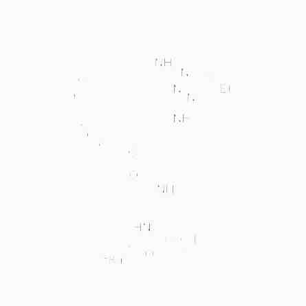 CCOc1nc2nc(n1)Nc1ccc(C(=O)NCC[C@@H](NC(=O)OC(C)(C)C)C(=O)O)c(c1)OCCCCCCOc1ccc(cc1)CN2